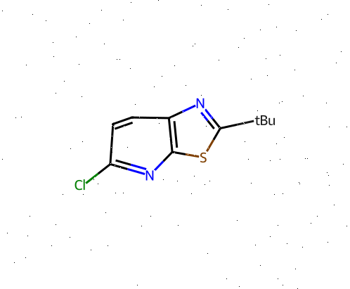 CC(C)(C)c1nc2ccc(Cl)nc2s1